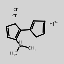 C[SiH](C)C1=C(C2=CC=CC2)CC=C1.[Cl-].[Cl-].[Hf+2]